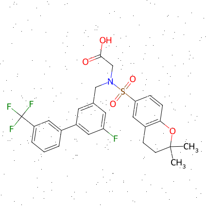 CC1(C)CCc2cc(S(=O)(=O)N(CC(=O)O)Cc3cc(F)cc(-c4cccc(C(F)(F)F)c4)c3)ccc2O1